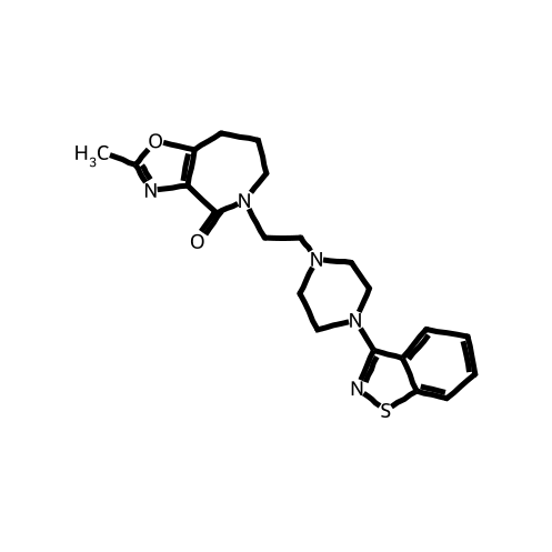 Cc1nc2c(o1)CCCN(CCN1CCN(c3nsc4ccccc34)CC1)C2=O